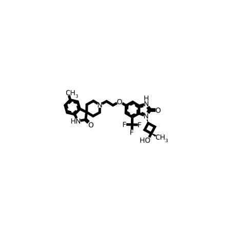 Cc1ccc2c(c1)C1(CCN(CCOc3cc(C(F)(F)F)c4c(c3)[nH]c(=O)n4[C@H]3C[C@@](C)(O)C3)CC1)C(=O)N2